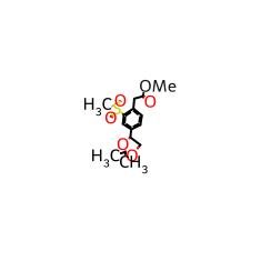 COC(=O)Cc1ccc(C2COC(C)(C)O2)cc1S(C)(=O)=O